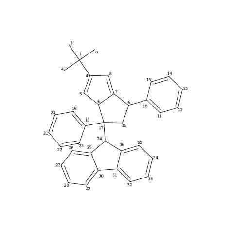 CC(C)(C)C1=CC2C(=C1)C(c1ccccc1)CC2(c1ccccc1)C1c2ccccc2-c2ccccc21